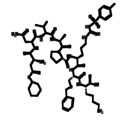 Cc1ccc(S(=O)(=O)NC(=N)NCCC[C@H](NC(=O)[C@@H]2CCCN2C(=O)[C@H](C)NC(=O)[C@@H](NC(=O)[C@H](CC(N)=O)NC(=O)[C@@H](N)CC(=O)OC2CCCCC2)C(C)C)C(=O)N[C@@H](COCc2ccccc2)C(=O)N[C@@H](CCCCN)C(=O)O)cc1